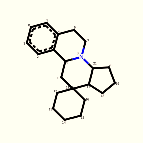 c1ccc2c(c1)CCN1C2CC2(CCCCC2)C2CCCC21